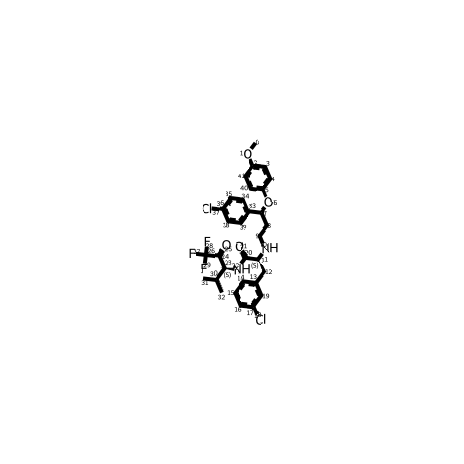 COc1ccc(OC(CCN[C@@H](Cc2cccc(Cl)c2)C(=O)N[C@H](C(=O)C(F)(F)F)C(C)C)c2ccc(Cl)cc2)cc1